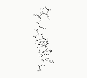 CC[C@H]1C2CC=C3C[C@@H](OC(=O)CCC(=O)N4CCSC4=O)CC[C@]3(C)[C@H]2CC[C@]1(C)C[C@H](C)CCCC(C)C